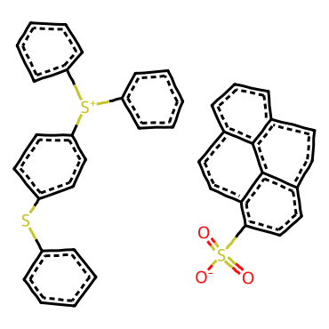 O=S(=O)([O-])c1ccc2ccc3cccc4ccc1c2c34.c1ccc(Sc2ccc([S+](c3ccccc3)c3ccccc3)cc2)cc1